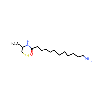 NCCCCCCCCCCCC(=O)NC(CS)C(=O)O